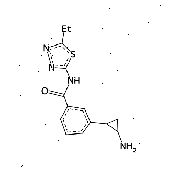 CCc1nnc(NC(=O)c2cccc(C3CC3N)c2)s1